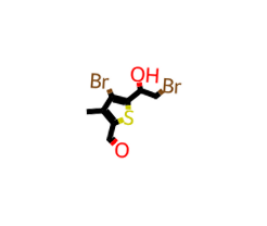 Cc1c(C=O)sc(C(O)CBr)c1Br